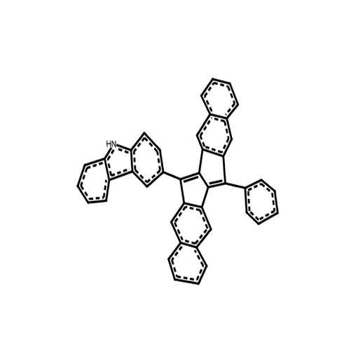 c1ccc(C2=C3C(=C(c4ccc5[nH]c6ccccc6c5c4)c4cc5ccccc5cc43)c3cc4ccccc4cc32)cc1